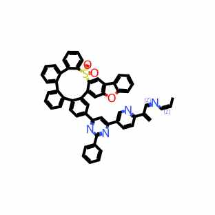 C=C(/C=N\C=C/C)c1ccc(-c2cc(-c3ccc4c(c3)-c3cc5oc6ccccc6c5cc3S(=O)(=O)c3ccccc3-c3ccccc3-c3ccccc3-4)nc(-c3ccccc3)n2)cn1